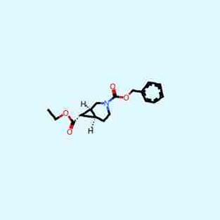 CCOC(=O)[C@H]1[C@@H]2CCN(C(=O)OCc3ccccc3)C[C@@H]21